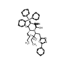 CCCC[C@@H](C(=O)C(C#N)=P(c1ccccc1)(c1ccccc1)c1ccccc1)N(C(=O)O)C(Cc1nnc(-c2ccccc2)o1)C(C)(C)CC